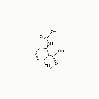 C[C@@H]1C=CC[C@@H](NC(=O)O)[C@H]1C(=O)O